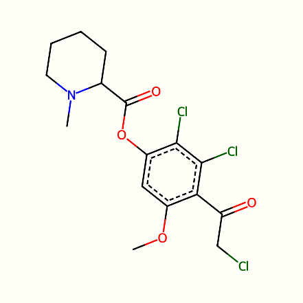 COc1cc(OC(=O)C2CCCCN2C)c(Cl)c(Cl)c1C(=O)CCl